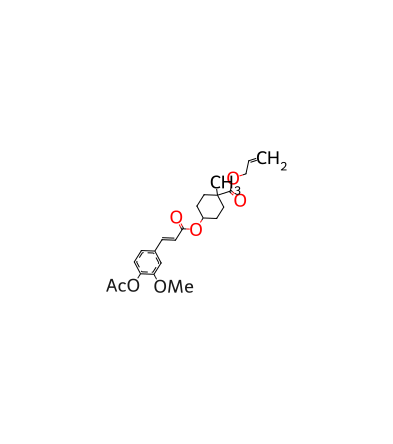 C=CCOC(=O)C1(C)CCC(OC(=O)C=Cc2ccc(OC(C)=O)c(OC)c2)CC1